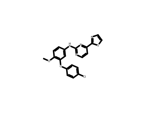 COc1ccc(Nc2nccc(-c3nccs3)n2)cc1Oc1ccc(Cl)cc1